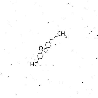 C#CC1CCC(C(=O)OC2CCC(CCCCC)CC2)CC1